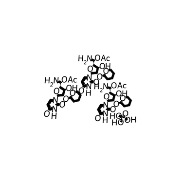 CC(=O)OC(N)[C@H]1O[C@@H](n2ccc(=O)[nH]c2=O)[C@H](OC2CCCCO2)[C@@H]1O.CC(=O)OC(N)[C@H]1O[C@@H](n2ccc(=O)[nH]c2=O)[C@H](OC2CCCCO2)[C@@H]1O.CC(=O)OC(N)[C@H]1O[C@@H](n2ccc(=O)[nH]c2=O)[C@H](OC2CCCCO2)[C@@H]1O.O=P(O)(O)O